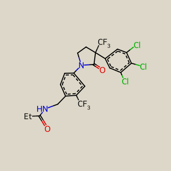 CCC(=O)NCc1ccc(N2CCC(c3cc(Cl)c(Cl)c(Cl)c3)(C(F)(F)F)C2=O)cc1C(F)(F)F